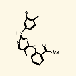 CNC(=O)c1ccccc1Oc1nc(Nc2ccc(C)c(Br)c2)ncc1C